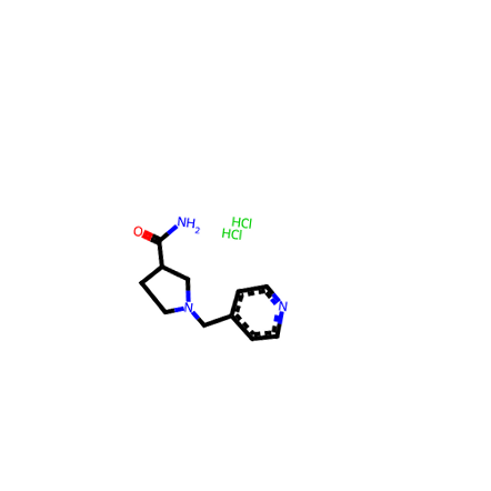 Cl.Cl.NC(=O)C1CCN(Cc2ccncc2)C1